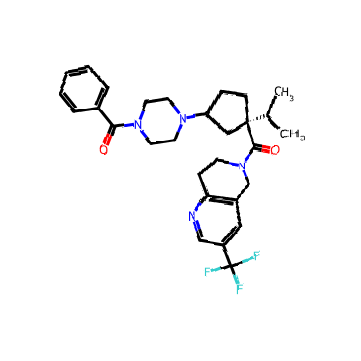 CC(C)[C@@]1(C(=O)N2CCc3ncc(C(F)(F)F)cc3C2)CCC(N2CCN(C(=O)c3ccccc3)CC2)C1